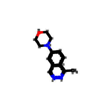 Cc1nncc2cc(N3CCOCC3)ccc12